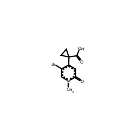 Cn1cc(Br)c(C2(C(=O)O)CC2)cc1=O